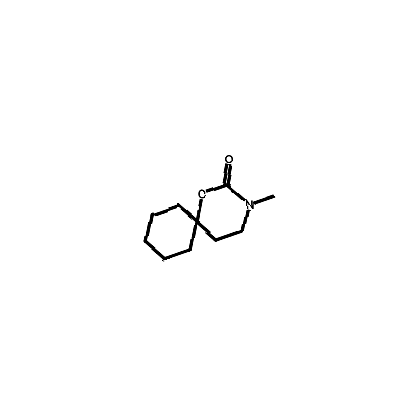 CN1CCC2(CCCCC2)OC1=O